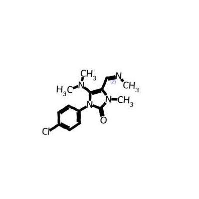 C/N=C\c1c(N(C)C)n(-c2ccc(Cl)cc2)c(=O)n1C